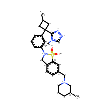 CC1CC(c2cccc(N3Cc4ccc(CN5CCC[C@H](C)C5)cc4S3(=O)=O)c2)(c2nncn2C)C1